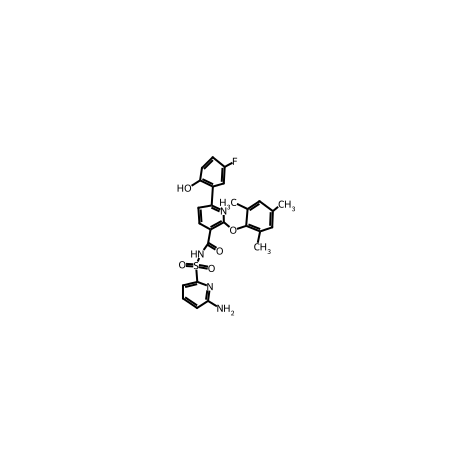 Cc1cc(C)c(Oc2nc(-c3cc(F)ccc3O)ccc2C(=O)NS(=O)(=O)c2cccc(N)n2)c(C)c1